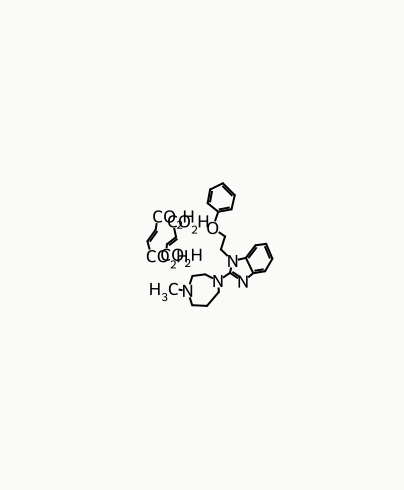 CN1CCCN(c2nc3ccccc3n2CCOc2ccccc2)CC1.O=C(O)/C=C/C(=O)O.O=C(O)/C=C/C(=O)O